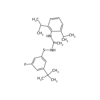 C=C(NSc1cc(F)cc(C(C)(C)C)c1)Nc1c(C(C)C)cccc1C(C)C